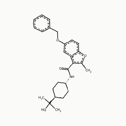 Cc1oc2ccc(OCc3ccccc3)cc2c1C(=O)N[C@H]1CC[C@H](C(C)(C)O)CC1